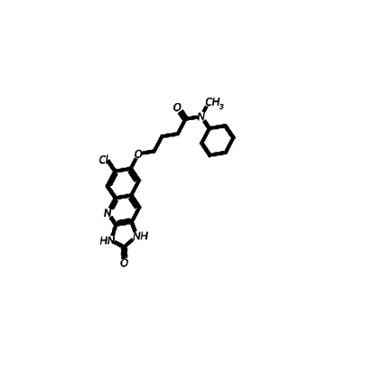 CN(C(=O)CCCOc1cc2cc3[nH]c(=O)[nH]c3nc2cc1Cl)C1CCCCC1